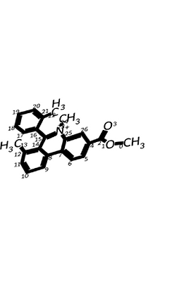 COC(=O)c1ccc2c3cccc(C)c3c(-c3ccccc3C)[n+](C)c2c1